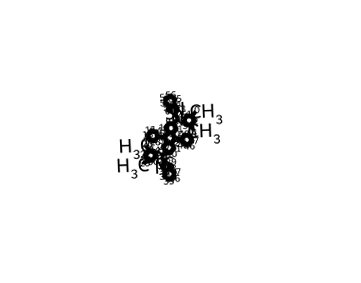 Cc1cc(C)cc(N(c2ccc3c(-c4ccccc4)c4cc(N(c5cc(C)cc(C)c5)c5nc6ccccc6s5)ccc4c(-c4ccccc4)c3c2)c2nc3ccccc3s2)c1